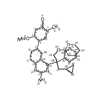 COc1cc(=O)n(C)cc1-c1ccc2nc(N)nc(C(COC3CCCCO3)(CC3CC3)c3cccnc3)c2c1